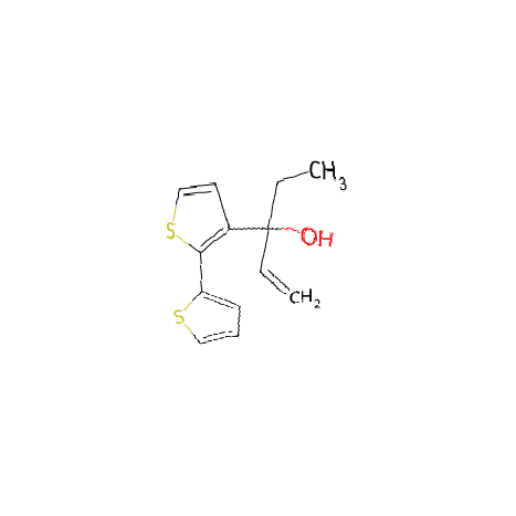 C=CC(O)(CC)c1ccsc1-c1cccs1